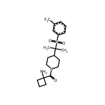 CC(C)(C1CCN(C(=O)C2(N)CCC2)CC1)S(=O)(=O)c1cccc(C(F)(F)F)c1